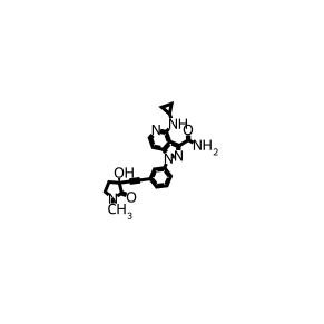 CN1CC[C@](O)(C#Cc2cccc(-n3nc(C(N)=O)c4c(NC5CC5)nccc43)c2)C1=O